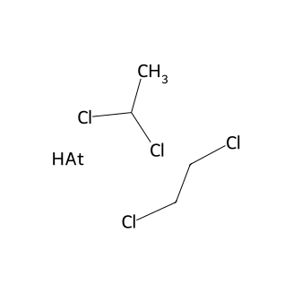 CC(Cl)Cl.ClCCCl.[AtH]